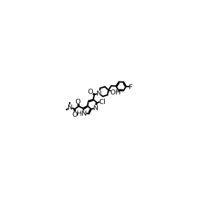 CN(C)C(=O)C(=O)c1[nH]cc2nc(Cl)c(C(=O)N3CCC(O)(Cc4ccc(F)cc4)CC3)cc12